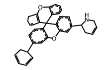 C1=CCC(c2ccc3c(c2)Oc2cc(C4CC=CCN4)ccc2C32C3=C(CCC=C3)Oc3ccccc32)C=C1